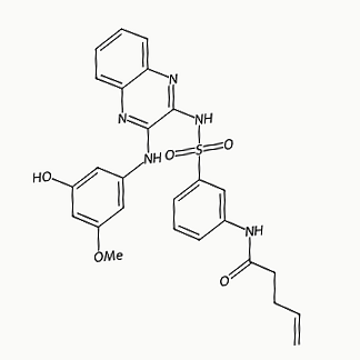 C=CCCC(=O)Nc1cccc(S(=O)(=O)Nc2nc3ccccc3nc2Nc2cc(O)cc(OC)c2)c1